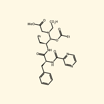 CCC(=O)OB([C@H](CC(C)C)NC(=O)[C@H](Cc1ccccc1)NC(=O)c1cnccn1)N(CC(=O)O)CC(=O)OC